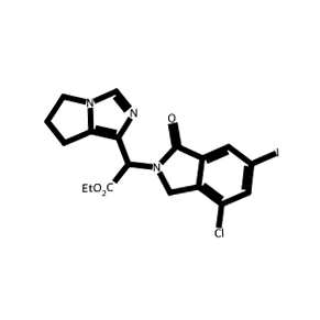 CCOC(=O)C(c1ncn2c1CCC2)N1Cc2c(Cl)cc(I)cc2C1=O